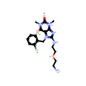 Cn1c(=O)c2c(nc(NCCOCCN)n2Cc2c(Cl)cccc2Cl)n(C)c1=O